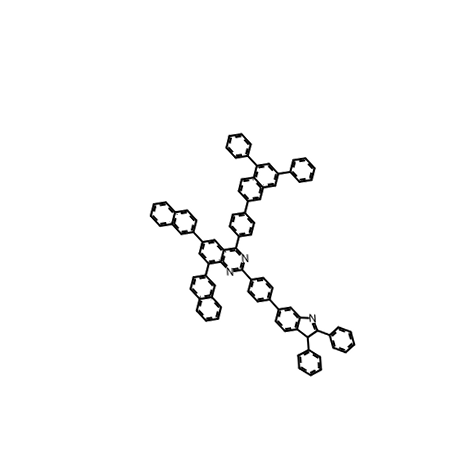 c1ccc(C2=Nc3cc(-c4ccc(-c5nc(-c6ccc(-c7ccc8c(-c9ccccc9)cc(-c9ccccc9)cc8c7)cc6)c6cc(-c7ccc8ccccc8c7)cc(-c7ccc8ccccc8c7)c6n5)cc4)ccc3C2c2ccccc2)cc1